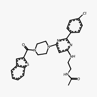 CC(=O)NCCNc1cc(N2CCN(C(=O)c3cc4ccccc4s3)CC2)nc(-c2ccc(Cl)cc2)n1